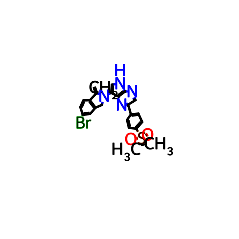 C=C1c2ccc(Br)cc2CN1c1c[nH]c2ncc(-c3ccc(S(=O)(=O)C(C)C)cc3)nc12